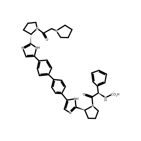 O=C(O)N[C@@H](C(=O)N1CCC[C@H]1c1ncc(-c2ccc(-c3ccc(-c4cnc([C@@H]5CCCN5C(=O)CN5CCCC5)[nH]4)cc3)cc2)[nH]1)c1ccccc1